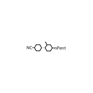 CCCCCC1CCC([C@H]2CC[C@H](C#N)CC2)C(C)C1